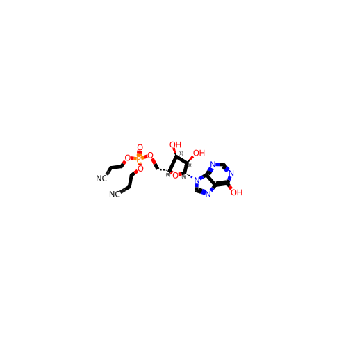 N#CCCOP(=O)(OCCC#N)OC[C@H]1O[C@@H](n2cnc3c(O)ncnc32)[C@H](O)[C@@H]1O